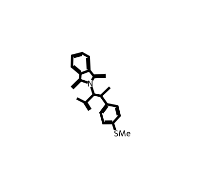 C=C(C)C(C(C)c1ccc(SC)cc1)n1c(=C)c2ccccc2c1=C